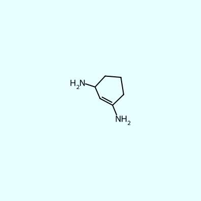 NC1=CC(N)CCC1